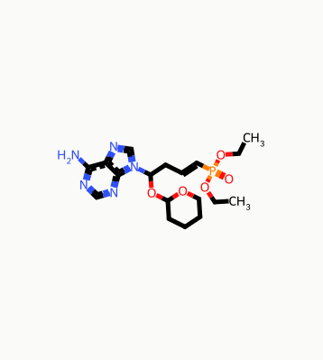 CCOP(=O)(C=CCC(OC1CCCCO1)n1cnc2c(N)ncnc21)OCC